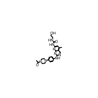 CC(=O)N1CCN(c2ccc(Nc3ncc4c(C)cc(NC(=O)NCCO)nc4n3)cc2)CC1